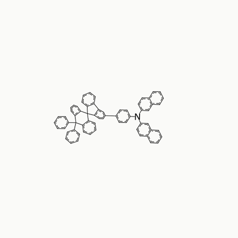 c1ccc(C2(c3ccccc3)c3ccccc3C3(c4ccccc4-c4cc(-c5ccc(N(c6ccc7ccccc7c6)c6ccc7ccccc7c6)cc5)ccc43)c3ccccc32)cc1